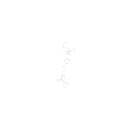 COc1ccccc1N/N=C/c1ccc(-c2ccc(/C=N/Nc3ccccc3OC)cc2)cc1